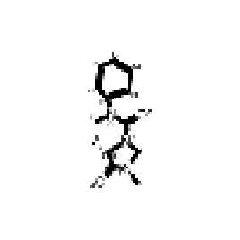 C[C@H]1C(=O)N(C)CN1C(=O)N(C)c1ccccc1